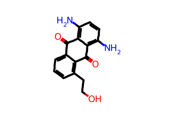 Nc1ccc(N)c2c1C(=O)c1cccc(CCO)c1C2=O